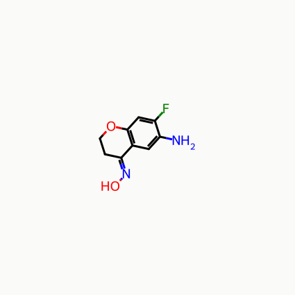 Nc1cc2c(cc1F)OCCC2=NO